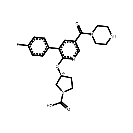 O=C(O)N1CC[C@H](Oc2ncc(C(=O)N3CCNCC3)cc2-c2ccc(F)cc2)C1